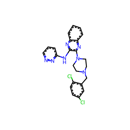 Clc1ccc(Cl)c(CN2CCN(c3nc4ccccc4nc3Nc3cccnn3)CC2)c1